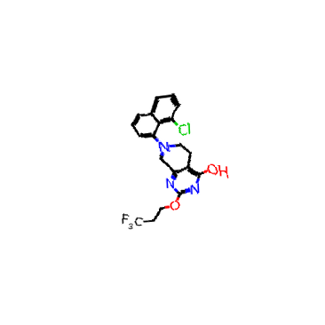 Oc1nc(OCCC(F)(F)F)nc2c1CCN(c1cccc3cccc(Cl)c13)C2